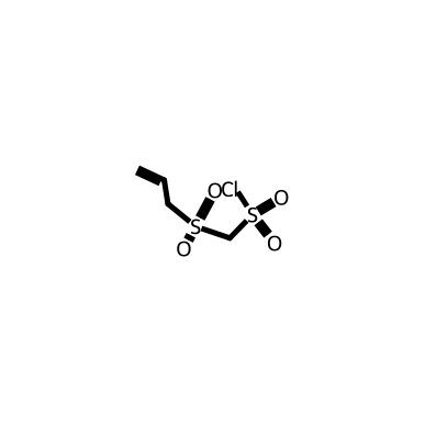 C=CCS(=O)(=O)CS(=O)(=O)Cl